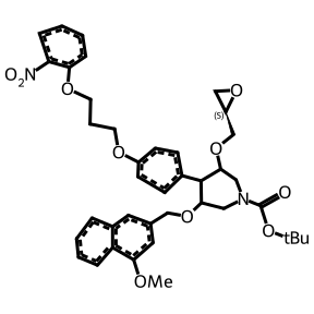 COc1cc(COC2CN(C(=O)OC(C)(C)C)CC(OC[C@H]3CO3)C2c2ccc(OCCCOc3ccccc3[N+](=O)[O-])cc2)cc2ccccc12